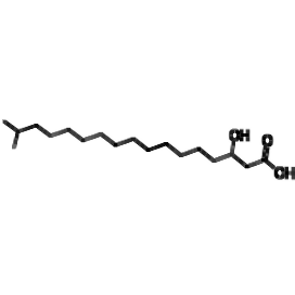 CC(C)CCCCCCCCCCCCC(O)CC(=O)O